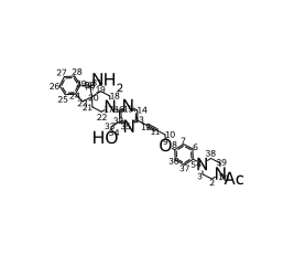 CC(=O)N1CCN(c2ccc(OCC#Cc3cnc(N4CCC5(CC4)Cc4ccccc4[C@H]5N)c(CO)n3)cc2)CC1